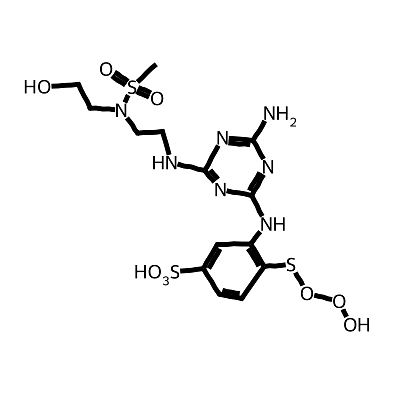 CS(=O)(=O)N(CCO)CCNc1nc(N)nc(Nc2cc(S(=O)(=O)O)ccc2SOOO)n1